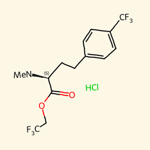 CN[C@@H](CCc1ccc(C(F)(F)F)cc1)C(=O)OCC(F)(F)F.Cl